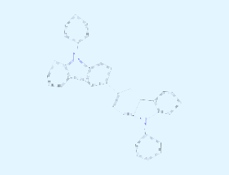 C1=C(c2ccc3c(c2)c2ccccc2n3-c2ccccc2)CC2C(=C1)N(c1ccccc1)c1ccccc12